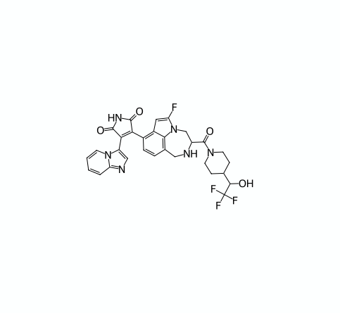 O=C1NC(=O)C(c2cnc3ccccn23)=C1c1ccc2c3c1cc(F)n3CC(C(=O)N1CCC(C(O)C(F)(F)F)CC1)NC2